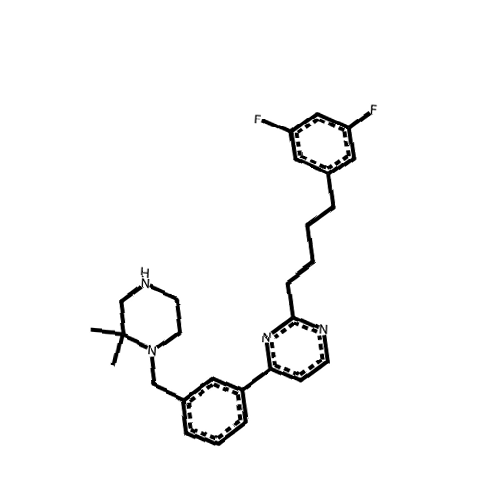 CC1(C)CNCCN1Cc1cccc(-c2ccnc(CCCCc3cc(F)cc(F)c3)n2)c1